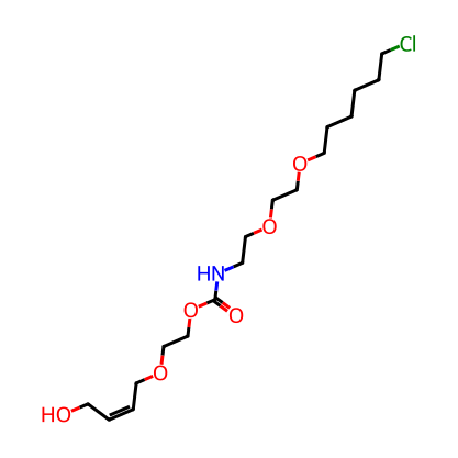 O=C(NCCOCCOCCCCCCCl)OCCOC/C=C\CO